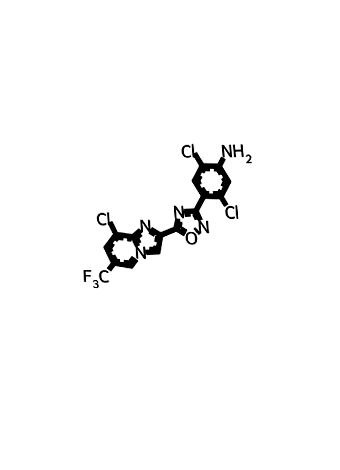 Nc1cc(Cl)c(-c2noc(-c3cn4cc(C(F)(F)F)cc(Cl)c4n3)n2)cc1Cl